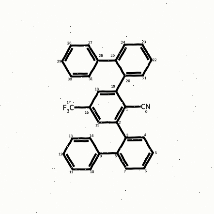 N#Cc1c(-c2ccccc2-c2ccccc2)cc(C(F)(F)F)cc1-c1ccccc1-c1ccccc1